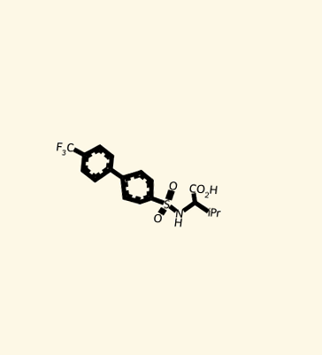 CC(C)C(NS(=O)(=O)c1ccc(-c2ccc(C(F)(F)F)cc2)cc1)C(=O)O